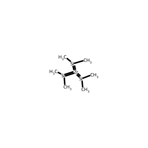 C[Si](C)=[Zr](=[Si](C)C)=[Si](C)C